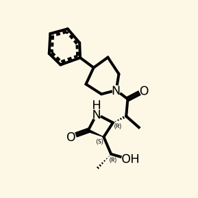 CC(C(=O)N1CCC(c2ccccc2)CC1)[C@H]1NC(=O)[C@@H]1[C@@H](C)O